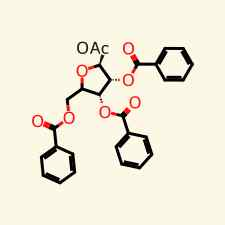 CC(=O)O[C@@H]1OC(COC(=O)c2ccccc2)[C@@H](OC(=O)c2ccccc2)[C@H]1OC(=O)c1ccccc1